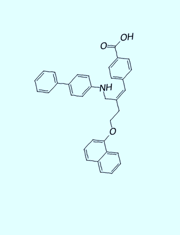 O=C(O)c1ccc(C=C(CCOc2cccc3ccccc23)CNc2ccc(-c3ccccc3)cc2)cc1